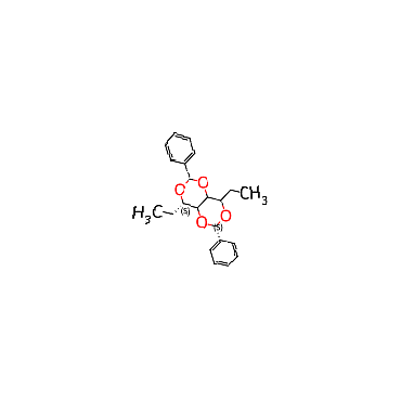 CCC1O[C@H](c2ccccc2)OC2C1OC(c1ccccc1)O[C@H]2CC